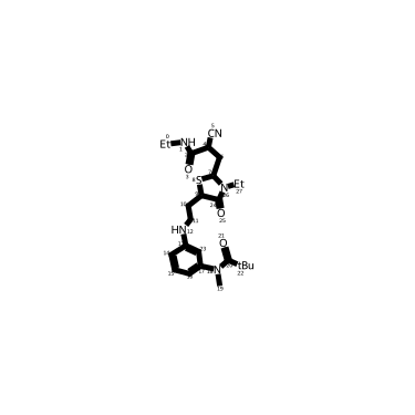 CCNC(=O)C(C#N)CC1SC(CCNc2cccc(N(C)C(=O)C(C)(C)C)c2)C(=O)N1CC